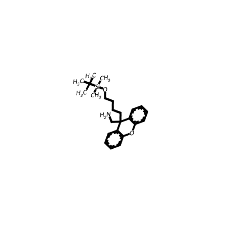 CC(C)(C)[Si](C)(C)OCCCCC1(CN)c2ccccc2Oc2ccccc21